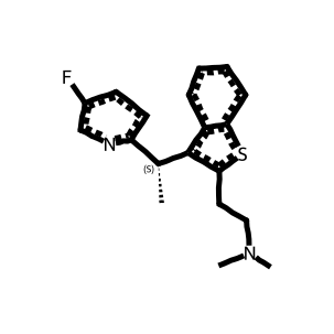 C[C@H](c1ccc(F)cn1)c1c(CCN(C)C)sc2ccccc12